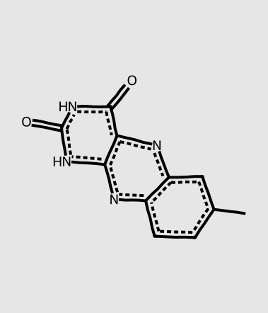 Cc1ccc2nc3[nH]c(=O)[nH]c(=O)c3nc2c1